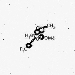 C=CCN1CC[C@@]2(c3cccc(OC)c3)C[C@@H](N(C)C(=O)C#Cc3ccc(C(F)(F)F)cc3)CC[C@]2(O)C1